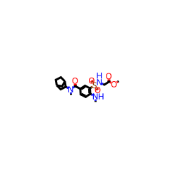 CNc1ccc(C(=O)N(C)C2CC3CCC2C3)cc1S(=O)(=O)NCC(=O)OC